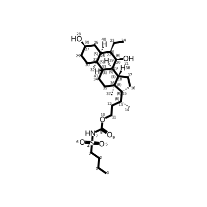 CCCCS(=O)(=O)NC(=O)OCC[C@@H](C)[C@H]1CC[C@H]2[C@@H]3[C@H](O)[C@H](CC)[C@@H]4C[C@H](O)CC[C@]4(C)[C@H]3CC[C@]12C